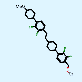 CCOCc1ccc(C2CCC(CCc3ccc(C4CCC(OC)CC4)c(F)c3F)CC2)c(F)c1F